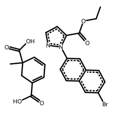 CC1(C(=O)O)C=CC=C(C(=O)O)C1.CCOC(=O)c1ccnn1-c1ccc2cc(Br)ccc2c1